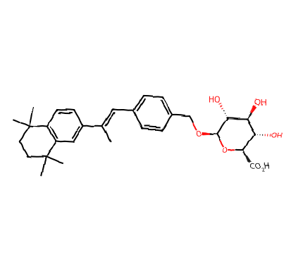 C/C(=C\c1ccc(CO[C@@H]2O[C@H](C(=O)O)[C@@H](O)[C@H](O)[C@H]2O)cc1)c1ccc2c(c1)C(C)(C)CCC2(C)C